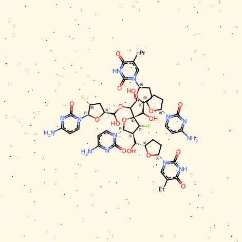 CCCc1cn([C@H]2CC[C@@H](C(O)[C@]3([C](OC(O)[C@@H]4C[C@@H](F)[C@H](n5ccc(N)nc5=O)O4)C(O)[C@@H]4CC[C@H](n5ccc(N)nc5=O)O4)O[C@@H](n4ccc(N)nc4=O)[C@H](C(O)[C@@H]4CC[C@H](n5cc(CC)c(=O)[nH]c5=O)O4)[C@@H]3F)O2)c(=O)[nH]c1=O